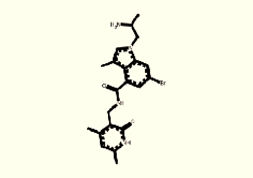 Cc1cc(C)c(CNC(=O)c2cc(Br)cc3c2c(C)cn3CC(C)N)c(=O)[nH]1